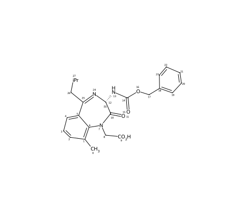 Cc1cccc2c1N(CC(=O)O)C(=O)[C@@H](NC(=O)OCc1ccccc1)N=C2CC(C)C